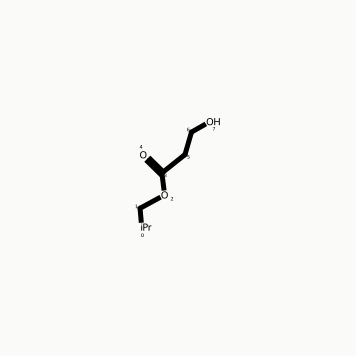 CC(C)COC(=O)CCO